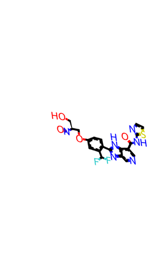 O=N[C@@H](CO)COc1ccc(-c2nc3cncc(C(=O)Nc4nccs4)c3[nH]2)c(C(F)F)c1